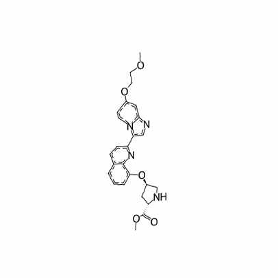 COCCOc1ccn2c(-c3ccc4cccc(O[C@H]5CN[C@H](C(=O)OC)C5)c4n3)cnc2c1